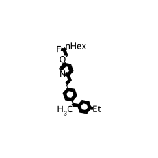 CCCCCCC(F)COc1ccc(CC[C@H]2CC[C@H](C(C)C3CCC(CC)CC3)CC2)nc1